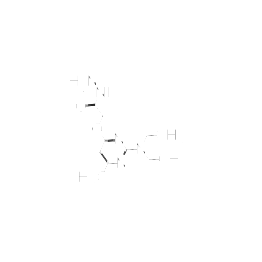 CCN(CC)c1nc(C)cc(OCC(=O)NN)n1